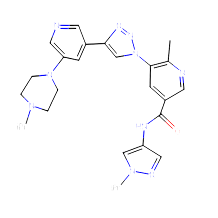 Cc1ncc(C(=O)Nc2cnn(C(C)C)c2)cc1-n1cc(-c2cncc(N3CCN(C(C)C)CC3)c2)nn1